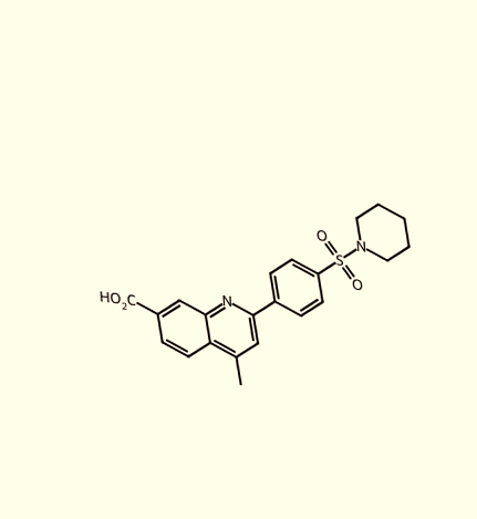 Cc1cc(-c2ccc(S(=O)(=O)N3CCCCC3)cc2)nc2cc(C(=O)O)ccc12